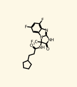 O=C(CCC1CCCC1)NC1(C(F)(F)F)C(=O)Nc2nc3c(F)cc(F)cc3n21